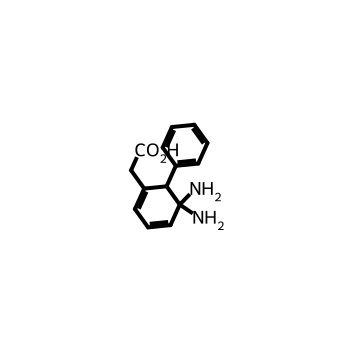 NC1(N)C=CC=C(CC(=O)O)C1c1ccccc1